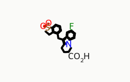 O=C(O)C1CCc2c(Cc3cccc4c3CCS4(=O)=O)c3cc(F)ccc3n2C1